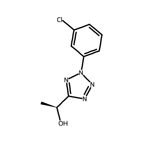 C[C@H](O)c1nnn(-c2cccc(Cl)c2)n1